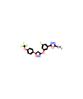 Cc1nnc(-c2cc(F)cc(OC3=NO[C@@H](c4ccc(OC(F)(F)F)cc4)C3)c2)o1